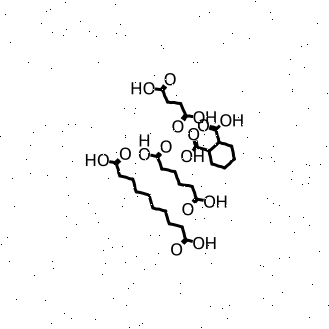 O=C(O)C1CCCCC1C(=O)O.O=C(O)CCC(=O)O.O=C(O)CCCCC(=O)O.O=C(O)CCCCCCCCC(=O)O